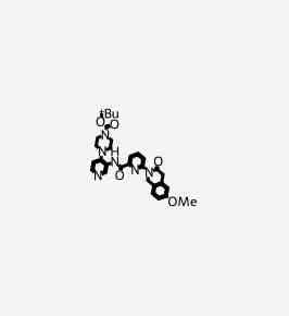 COc1ccc2c(c1)CC(=O)N(c1cccc(C(=O)Nc3cnccc3N3CCN(C(=O)OC(C)(C)C)CC3)n1)C2